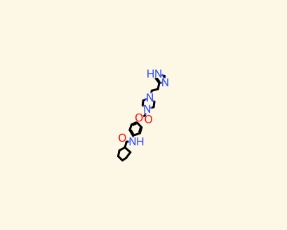 O=C(Nc1ccc(OC(=O)N2CCN(CCc3c[nH]cn3)CC2)cc1)C1CCCCC1